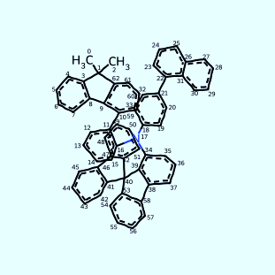 CC1(C)c2ccccc2-c2c(-c3ccccc3N(c3ccc(-c4cccc5ccccc45)cc3)c3cccc4c3C3(c5ccccc5-c5ccccc53)c3ccccc3-4)cccc21